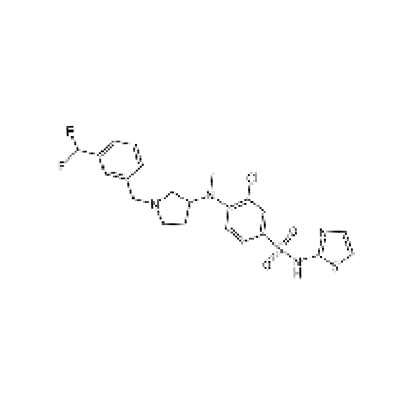 CN(c1ccc(S(=O)(=O)Nc2nccs2)cc1Cl)C1CCN(Cc2cccc(C(F)F)c2)C1